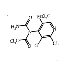 CCOC(=O)c1cnc(Cl)c(Cl)c1N(C(N)=O)C(=O)C(Cl)(Cl)Cl